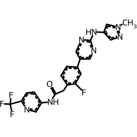 Cn1cc(Nc2ncc(-c3ccc(CC(=O)Nc4ccc(C(F)(F)F)nc4)c(F)c3)cn2)cn1